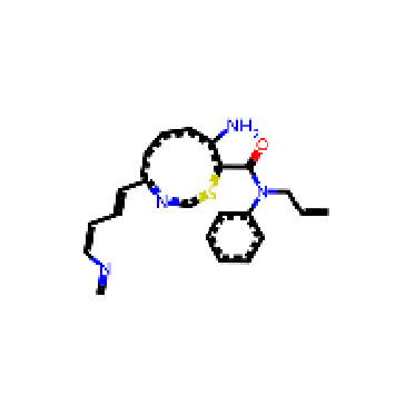 C=CCN(C(=O)c1scnc(/C=C/C=C\N=C)cccc1N)c1ccccc1